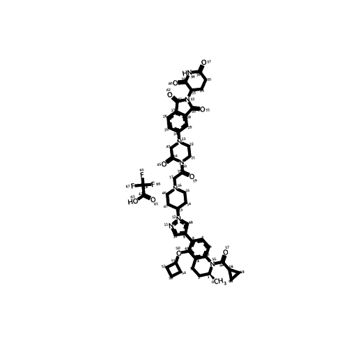 C[C@H]1CCc2c(ccc(-c3cnn(C4CCN(CC(=O)N5CCN(c6ccc7c(c6)C(=O)N(C6CCC(=O)NC6=O)C7=O)CC5=O)CC4)c3)c2OC2CCC2)N1C(=O)C1CC1.O=C(O)C(F)(F)F